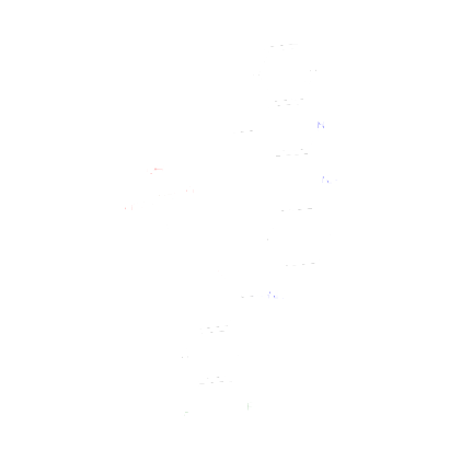 CS(=O)(=O)O.Cc1cc(N[C@H]2CC[C@@H](NC(=O)c3ccc(F)c(F)c3)CC2)nc2ccccc12